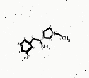 CCN1CC[C@@H](C(N)Cc2cccc(F)c2)C1